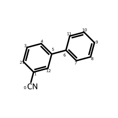 N#Cc1[c]ccc(-c2ccccc2)c1